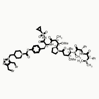 CC[C@H](C)[C@@H]([C@@H](CC(=O)N1CCC[C@H]1[C@H](OC)[C@@H](C)C(=O)N[C@@H](Cc1ccc(OC(=O)N2CCC(Cn3nnc(CBr)c3CBr)CC2)cc1)C(=O)NS(=O)(=O)C1CC1)OC)N(C)C(=O)[C@@H](NC(=O)[C@H](C(C)C)N(C)C)C(C)C